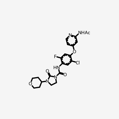 CC(=O)Nc1cc(Oc2cc(F)c(NC(=O)N3CCN(C4CCOCC4)C3=O)cc2Cl)ccn1